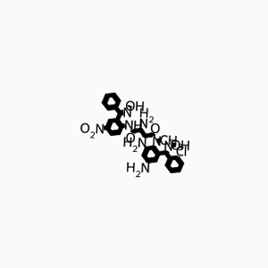 CN(C(=O)C(N)C(N)C(=O)Nc1ccc([N+](=O)[O-])cc1C(=NO)c1ccccc1)c1ccc(N)cc1C(=NO)c1ccccc1Cl